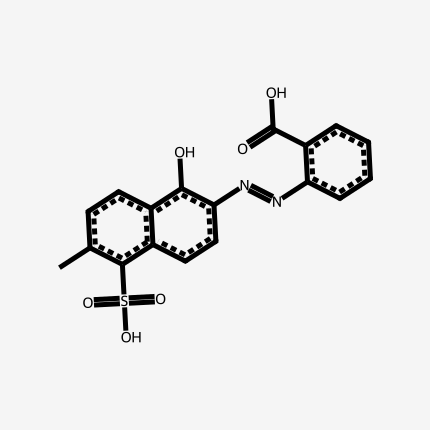 Cc1ccc2c(O)c(N=Nc3ccccc3C(=O)O)ccc2c1S(=O)(=O)O